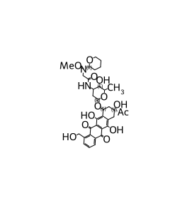 CON(CC(=O)NC1C[C@H](O[C@H]2C[C@](O)(C(C)=O)Cc3c(O)c4c(c(O)c32)C(=O)c2c(CO)cccc2C4=O)OC(C)[C@H]1O)[C@H]1CCCCO1